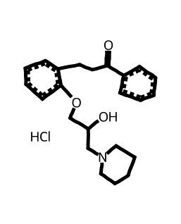 Cl.O=C(CCc1ccccc1OCC(O)CN1CCCCC1)c1ccccc1